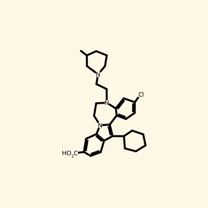 CC1CCCN(CCN2CCn3c(c(C4CCCCC4)c4ccc(C(=O)O)cc43)-c3ccc(Cl)cc32)C1